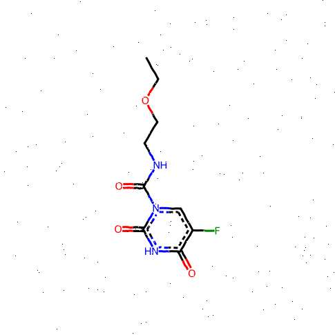 CCOCCNC(=O)n1cc(F)c(=O)[nH]c1=O